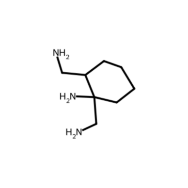 NCC1CCCCC1(N)CN